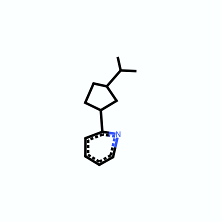 CC(C)C1CCC(c2ccccn2)C1